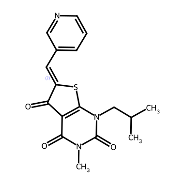 CC(C)Cn1c2c(c(=O)n(C)c1=O)C(=O)/C(=C/c1cccnc1)S2